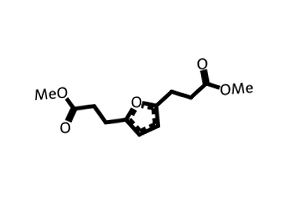 COC(=O)CCc1ccc(CCC(=O)OC)o1